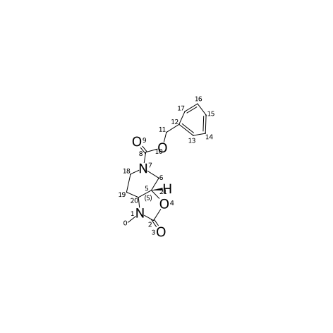 CN1C(=O)O[C@H]2CN(C(=O)OCc3ccccc3)CCC21